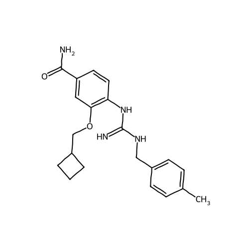 Cc1ccc(CNC(=N)Nc2ccc(C(N)=O)cc2OCC2CCC2)cc1